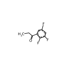 CCC(=O)c1cc(F)cc(F)c1F